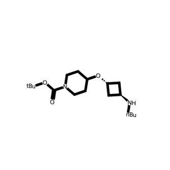 CCCCN[C@H]1C[C@H](OC2CCN(C(=O)OC(C)(C)C)CC2)C1